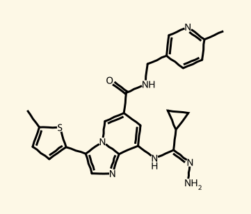 Cc1ccc(CNC(=O)c2cc(N/C(=N\N)C3CC3)c3ncc(-c4ccc(C)s4)n3c2)cn1